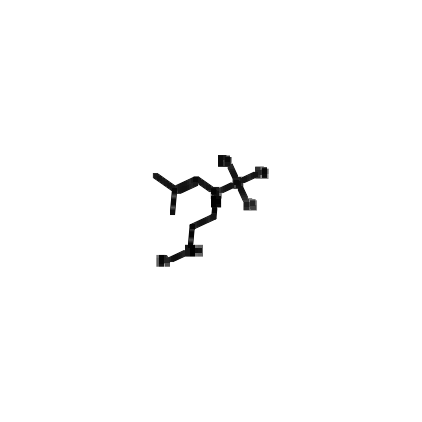 CC[Si](CC)(CC)[SiH](C=C(C)C)CCNC(C)C